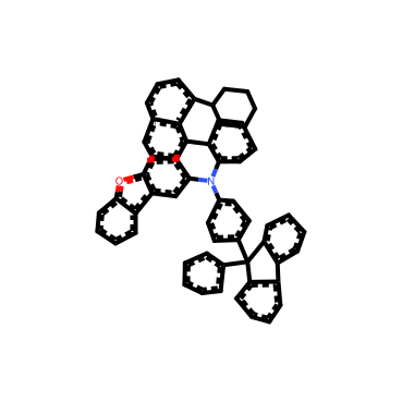 c1ccc(C2(c3ccc(N(c4ccc5oc6ccccc6c5c4)c4ccccc4-c4cccc5cccc(C6CCCCC6)c45)cc3)c3ccccc3-c3ccccc32)cc1